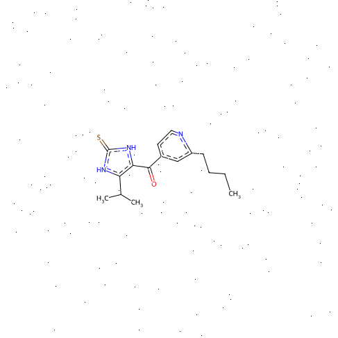 CCCCc1cc(C(=O)c2[nH]c(=S)[nH]c2C(C)C)ccn1